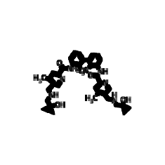 Cc1cc(C(=O)Nc2cccc(-c3cccc(NC(=O)c4cc(C)c(CNCC5(O)CC5)cn4)c3C)c2C)ncc1CNCC1(O)CC1